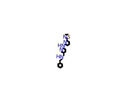 c1ccc(CCNCc2ccc(Nc3cccc(-c4nccs4)n3)nc2)cc1